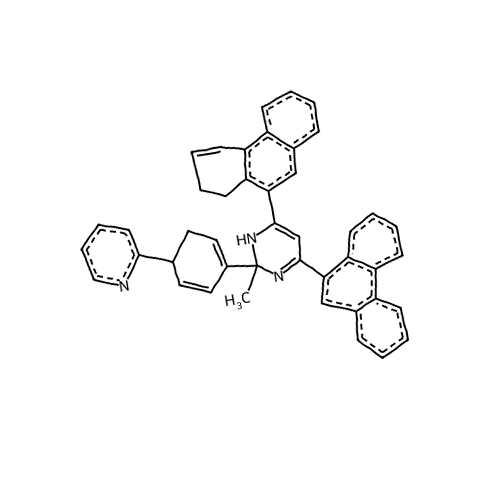 CC1(C2=CCC(c3ccccn3)C=C2)N=C(c2cc3ccccc3c3ccccc23)C=C(c2cc3ccccc3c3c2CCC=C3)N1